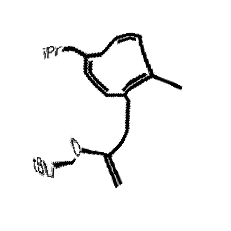 C=C(Cc1cc(C(C)C)ccc1C)OC(C)(C)C